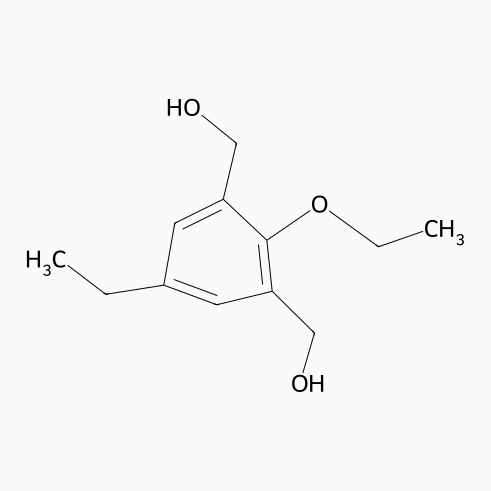 CCOc1c(CO)cc(CC)cc1CO